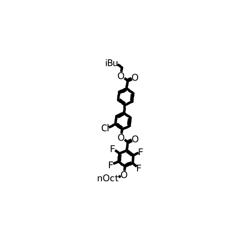 CCCCCCCCOc1c(F)c(F)c(C(=O)Oc2ccc(-c3ccc(C(=O)OCC(C)CC)cc3)cc2Cl)c(F)c1F